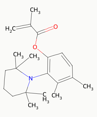 C=C(C)C(=O)Oc1ccc(C)c(C)c1N1C(C)(C)CCCC1(C)C